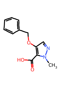 Cn1ncc(OCc2ccccc2)c1C(=O)O